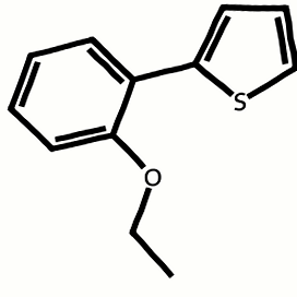 CCOc1ccccc1-c1cccs1